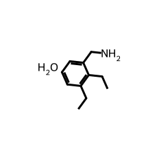 CCc1cccc(CN)c1CC.O